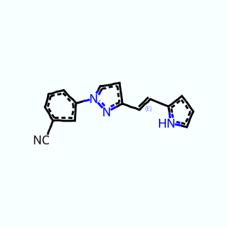 N#Cc1cccc(-n2ccc(/C=C/c3ccc[nH]3)n2)c1